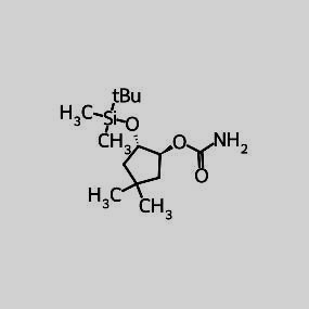 CC1(C)C[C@H](OC(N)=O)[C@@H](O[Si](C)(C)C(C)(C)C)C1